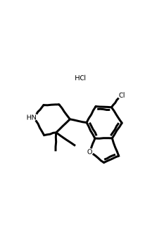 CC1(C)CNCCC1c1cc(Cl)cc2ccoc12.Cl